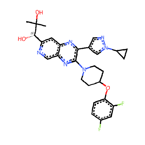 CC(C)(O)[C@@H](O)c1cc2nc(-c3cnn(C4CC4)c3)c(N3CCC(Oc4ccc(F)cc4F)CC3)nc2cn1